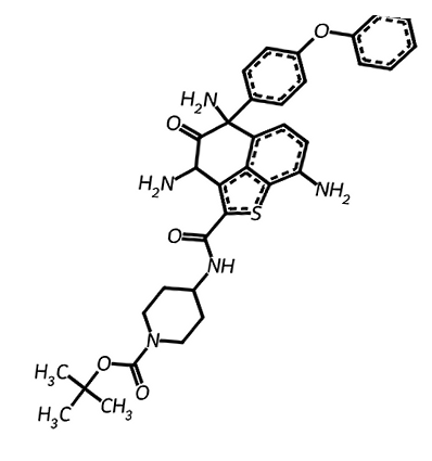 CC(C)(C)OC(=O)N1CCC(NC(=O)c2sc3c(N)ccc4c3c2C(N)C(=O)C4(N)c2ccc(Oc3ccccc3)cc2)CC1